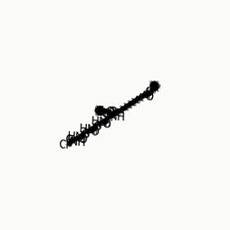 O=C(CCl)NCCNC(=O)COCCNC(=O)COCCNC(=O)CC[C@H](NC(=O)CCCCCCCCCCCCCCCCC(=O)OCc1ccccc1)C(=O)OCc1ccccc1